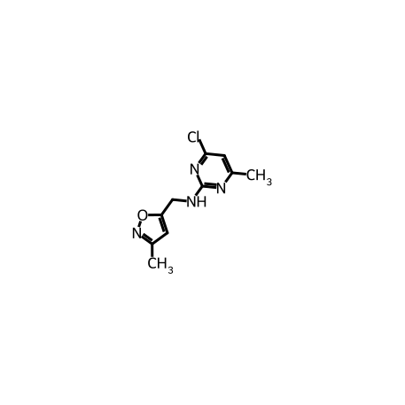 Cc1cc(CNc2nc(C)cc(Cl)n2)on1